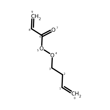 C=CCCOOC(=O)C=C